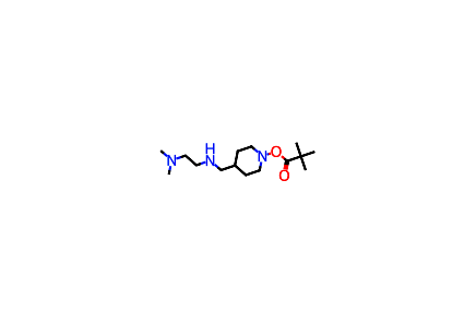 CN(C)CCNCC1CCN(OC(=O)C(C)(C)C)CC1